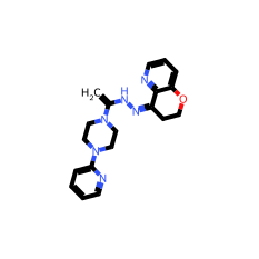 C=C(N/N=C1/CCOc2cccnc21)N1CCN(c2ccccn2)CC1